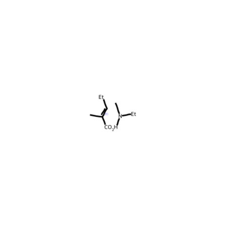 CC/C=C(\C)C(=O)O.CCN(C)C